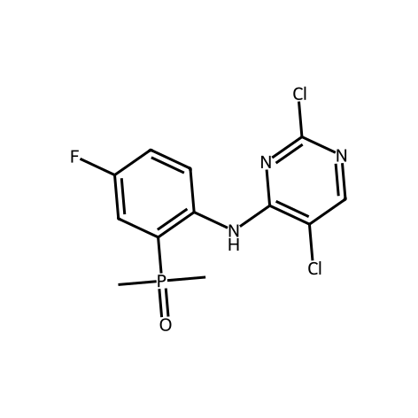 CP(C)(=O)c1cc(F)ccc1Nc1nc(Cl)ncc1Cl